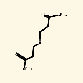 [CH2]CCCCC(=O)CCCCCC(=O)CCCCC